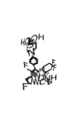 N#CC1(NC(=O)[C@@H]2CC(F)(F)CC[C@H]2c2nn(-c3ccc(F)cn3)c(CF)c2-c2ccc(N3CCS(O)(O)CC3)cc2)CC1